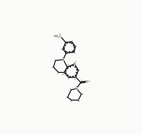 O=C(O)c1cccc(N2CCCc3cc(C(=O)N4CCCCC4)cnc32)c1